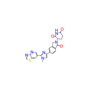 Cn1cc(-c2ccc3c(c2)CN(C2CCC(=O)NC2=O)C3=O)nc1-c1cnc2ncsc2c1